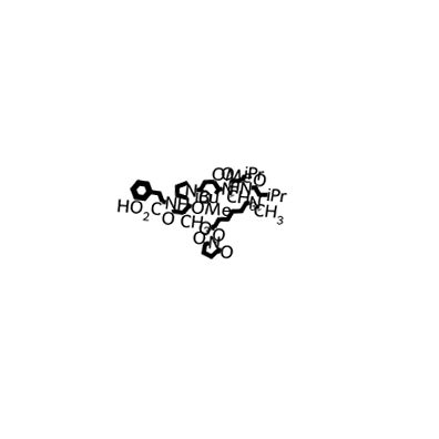 CCC(C)C(C(CC(=O)N1CCC[C@H]1C(OC)C(C)C(=O)NC(Cc1ccccc1)C(=O)O)OC)N(C)C(=O)C(NC(=O)C(C(C)C)N(C)CCCCCC(=O)ON1C(=O)CCC1=O)C(C)C